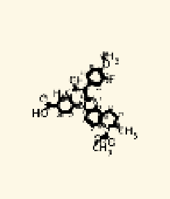 COC(=O)N1c2ccc3c(nc([C@H](c4ccc(OC)c(F)c4)C(C)C)n3C3CCC(C(=O)O)CC3)c2CCC1C